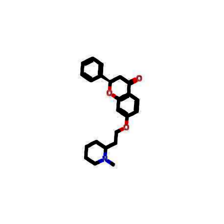 CN1CCCCC1CCOc1ccc2c(c1)O[C@@H](c1ccccc1)CC2=O